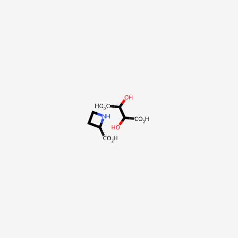 O=C(O)C(O)C(O)C(=O)O.O=C(O)C1CCN1